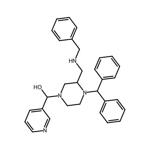 OC(c1cccnc1)N1CCN(C(c2ccccc2)c2ccccc2)C(CNCc2ccccc2)C1